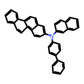 c1ccc(-c2ccc(N(c3ccc4ccccc4c3)c3ccc4c(ccc5c6ccccc6ccc45)c3)cc2)cc1